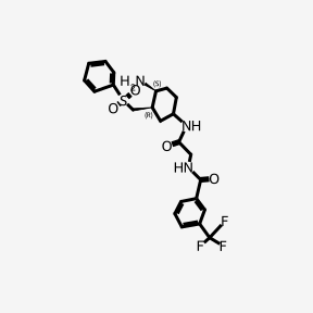 N[C@H]1CCC(NC(=O)CNC(=O)c2cccc(C(F)(F)F)c2)C[C@H]1CS(=O)(=O)c1ccccc1